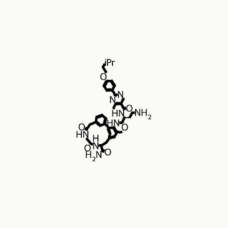 Cc1cc2cc(c1NC(=O)[C@H](CCN)NC(=O)c1cnc(-c3ccc(OCCC(C)C)cc3)nc1C)-c1cccc(c1)CC(=O)NCC(=O)NC(C(N)=O)C2